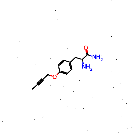 CC#CCOc1ccc(C[C@H](N)C(N)=O)cc1